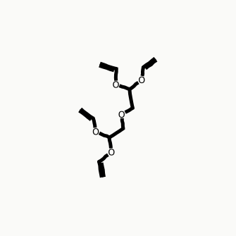 C=COC(COCC(OC=C)OC=C)OC=C